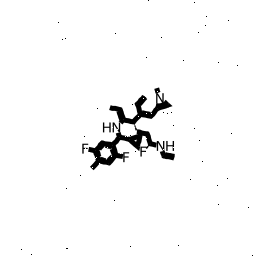 C=CN[C@H](F)CC[C@H](/C(=C/C)NC(c1cc(F)c(C)cc1F)C1CC1)/C(C=C)=C/C1=CN1C